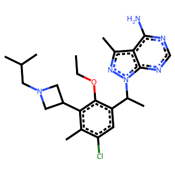 CCOc1c(C(C)n2nc(C)c3c(N)ncnc32)cc(Cl)c(C)c1C1CN(CC(C)C)C1